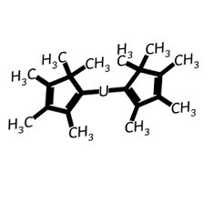 CC1=C(C)C(C)(C)[C]([U][C]2=C(C)C(C)=C(C)C2(C)C)=C1C